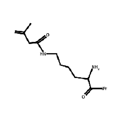 C=C(C)CC(=O)NCCCCC(N)C(=O)C(C)C